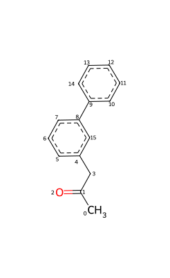 CC(=O)Cc1cccc(-c2ccccc2)c1